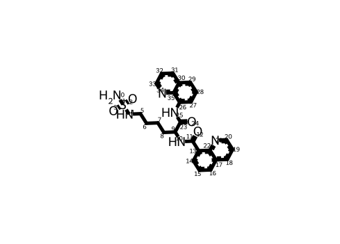 NS(=O)(=O)NCCCCC(NC(=O)c1cccc2cccnc12)C(=O)Nc1cccc2cccnc12